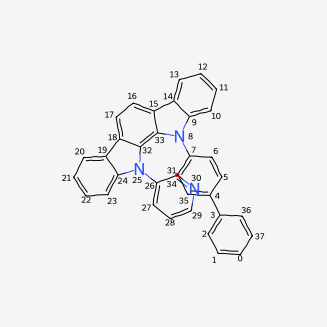 c1ccc(-c2ccc(-n3c4ccccc4c4ccc5c6ccccc6n(-c6cccnc6)c5c43)cc2)cc1